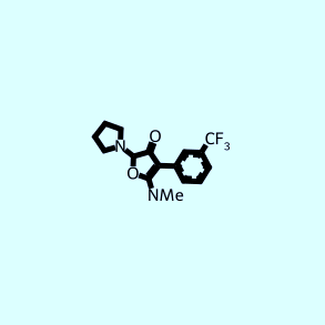 CNC1=C(c2cccc(C(F)(F)F)c2)C(=O)C(N2CCCC2)O1